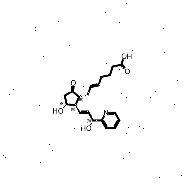 O=C(O)CCCC=CC[C@H]1C(=O)C[C@@H](O)[C@@H]1C=C[C@@H](O)c1ccccn1